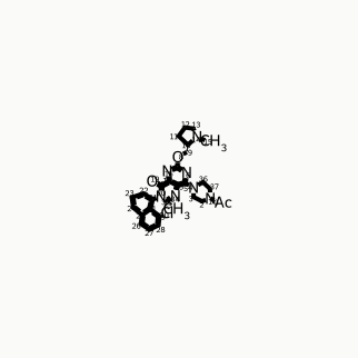 CC(=O)N1CCN(c2nc(OC[C@@H]3CCCN3C)nc3c(=O)n(-c4cccc5cccc(Cl)c45)c(C)nc23)CC1